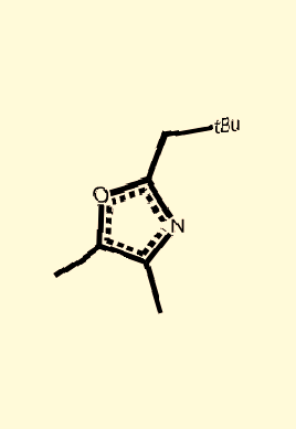 Cc1nc(CC(C)(C)C)oc1C